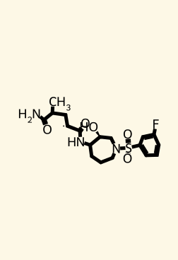 CC(C[CH]C(=O)NC1CCCN(S(=O)(=O)c2cccc(F)c2)C[C@@H]1O)C(N)=O